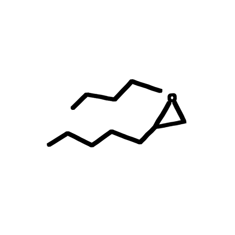 CCCCC.CCCCCC1CO1